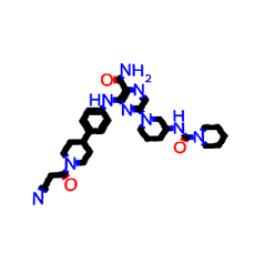 N#CCC(=O)N1CCC(c2ccc(Nc3nc(N4CCCC(NC(=O)N5CCCCC5)C4)cnc3C(N)=O)cc2)CC1